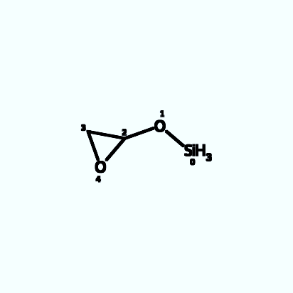 [SiH3]OC1CO1